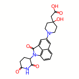 O=C(O)CC1(O)CCN(c2cc3c4c(cccc4c2)N(C2CCC(=O)NC2=O)C3=O)CC1